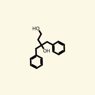 OCCC(O)(Cc1ccccc1)Cc1ccccc1